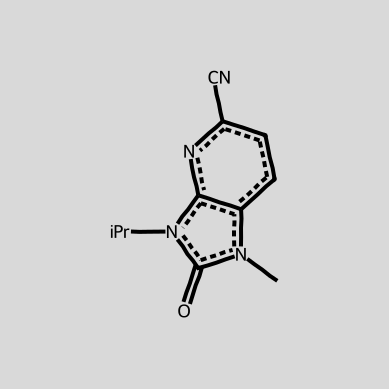 CC(C)n1c(=O)n(C)c2ccc(C#N)nc21